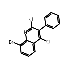 Clc1nc2c(Br)cccc2c(Cl)c1-c1ccccc1